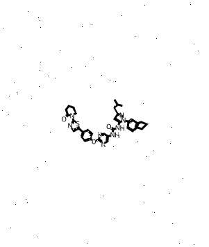 CC(C)Cc1cc(NC(=O)Nc2cnc(Oc3ccc(-c4cnc(N5CCCCC5=O)s4)cc3)nc2)n(-c2ccc3c(c2)CCC3)n1